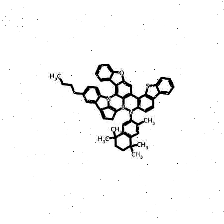 CCCCc1ccc2c(c1)c1c3n2-c2c4c(cc5oc6ccccc6c25)-c2c(ccc5c2sc2ccccc25)N(c2cc5c(cc2C)C(C)(C)CCC5(C)C)B4C=3CC=1